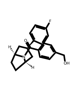 O=C(c1ccc(CO)cc1)N1[C@@H]2CC[C@H]1C[C@@H](c1ccc(F)cc1)C2